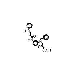 O=C(O)CC1CN(Cc2ccccc2)c2cc(NC(=O)CCNc3ccccn3)ccc2O1